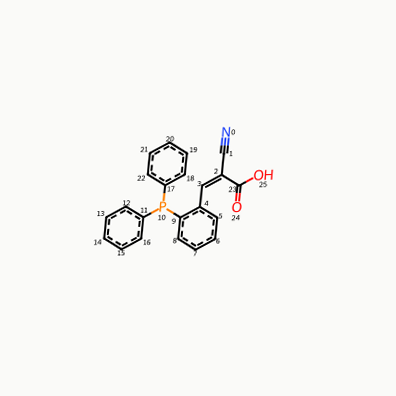 N#CC(=Cc1ccccc1P(c1ccccc1)c1ccccc1)C(=O)O